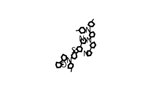 Cc1ccc(N(c2ccc(C)cc2)c2cccc(N(c3cccc(-c4cccnc4)c3)c3cncc(-c4ccc5c(c4)sc4cc(N(c6ccc(C)cc6)c6cccc7c6oc6ccccc67)ccc45)c3)c2)cc1